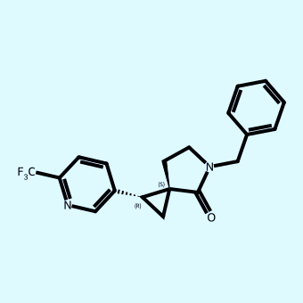 O=C1N(Cc2ccccc2)CC[C@]12C[C@@H]2c1ccc(C(F)(F)F)nc1